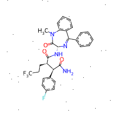 CN1C(=O)[C@@H](NC(=O)[C@H](CCC(F)(F)F)[C@@H](C(N)=O)c2ccc(F)cc2)N=C(c2ccccc2)c2ccccc21